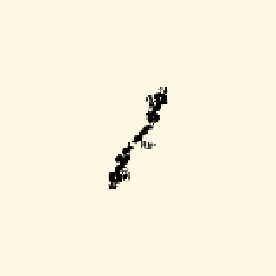 Cc1c[n+](CCCCCCCCCC[n+]2ccc(/C=C/c3ccc(N(C)C)cc3[N+](=O)[O-])c(C)c2)ccc1/C=C/c1ccc(N(C)C)cc1[N+](=O)[O-].[Br-].[Br-]